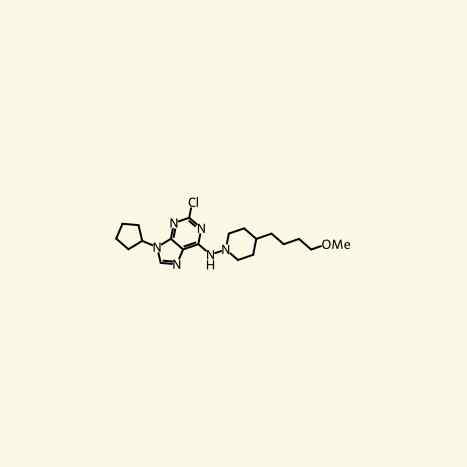 COCCCCC1CCN(Nc2nc(Cl)nc3c2ncn3C2CCCC2)CC1